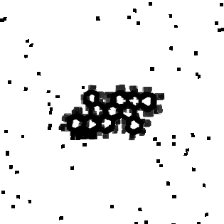 CCCCc1ccc2c(-c3ccccc3-c3cccc4ccccc34)c3ccccc3c(-c3ccccc3-c3cccc4ccccc34)c2c1